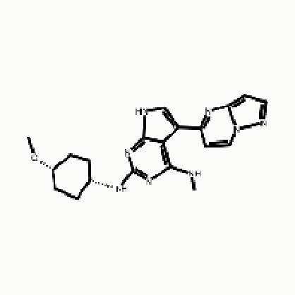 CNc1nc(N[C@H]2CC[C@@H](OC)CC2)nc2[nH]cc(-c3ccn4nccc4n3)c12